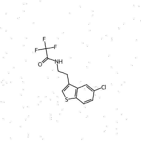 O=C(NCCc1csc2ccc(Cl)cc12)C(F)(F)F